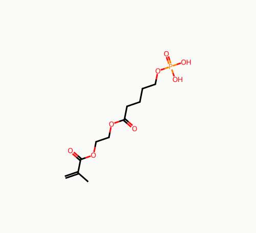 C=C(C)C(=O)OCCOC(=O)CCCCOP(=O)(O)O